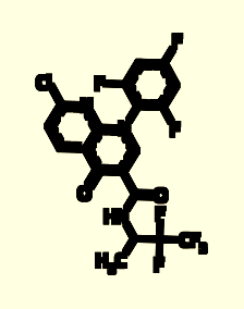 CC(NC(=O)c1cn(-c2c(F)cc(F)cc2F)c2nc(Cl)ccc2c1=O)C(F)(F)C(F)(F)F